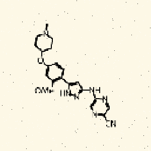 COc1cc(OC2CCN(C)CC2)ccc1-c1cc(Nc2cnc(C#N)cn2)n[nH]1